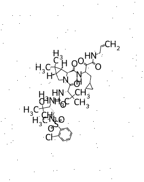 C=CCNC(=O)C(=O)C(CC1CC1)NC(=O)[C@@H]1[C@@H]2[C@H](CN1C(=O)[C@@H](NC(=O)N[C@H](CN(C)S(=O)(=O)c1ccccc1Cl)C(C)(C)C)C(C)(C)C)C2(C)C